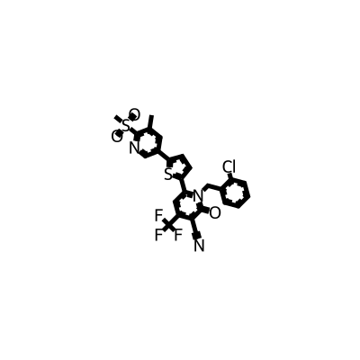 Cc1cc(-c2ccc(-c3cc(C(F)(F)F)c(C#N)c(=O)n3Cc3ccccc3Cl)s2)cnc1S(C)(=O)=O